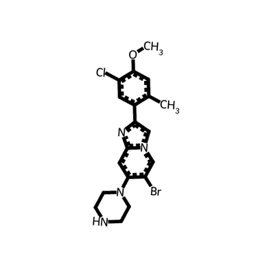 COc1cc(C)c(-c2cn3cc(Br)c(N4CCNCC4)cc3n2)cc1Cl